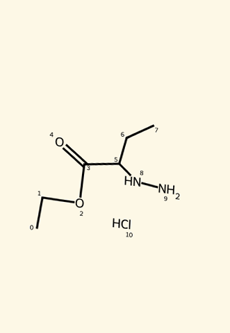 CCOC(=O)C(CC)NN.Cl